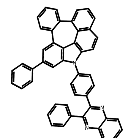 c1ccc(-c2cc3c4c5c6c(cccc6ccc5n(-c5ccc(-c6nc7ccccc7nc6-c6ccccc6)cc5)c4c2)-c2ccccc2-3)cc1